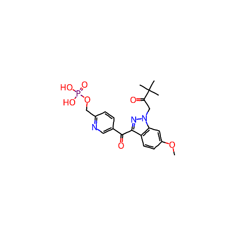 COc1ccc2c(C(=O)c3ccc(COP(=O)(O)O)nc3)nn(CC(=O)C(C)(C)C)c2c1